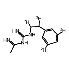 [2H]c1cc([2H])cc(C([2H])C([2H])NC(=N)NC(C)=N)c1